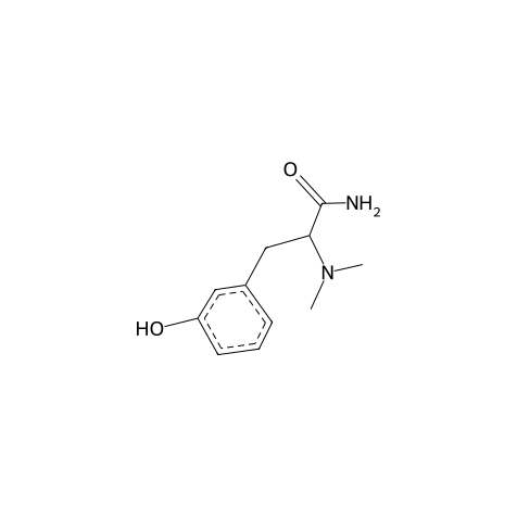 CN(C)C(Cc1cccc(O)c1)C(N)=O